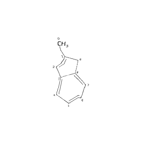 CC1=Cc2c[c]ccc2C1